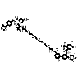 Cc1ncsc1-c1ccc(CNC(=O)[C@@H]2C[C@@H](O)CN2C(=O)C(NC(=O)CCOCCOCCOCCOCCOCCNC(=O)c2ccc(F)c(-c3ccc(N4C[C@@H](C)N(C)[C@@H](C)C4)c(NC(=O)c4c[nH]c(=O)cc4C(F)(F)F)c3)c2)C(C)(C)C)cc1